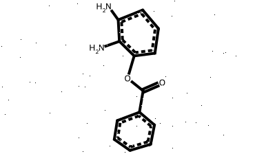 Nc1cccc(OC(=O)c2ccccc2)c1N